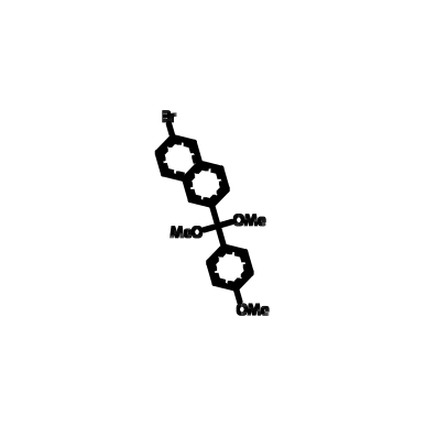 COc1ccc(C(OC)(OC)c2ccc3cc(Br)ccc3c2)cc1